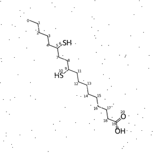 CCCCCC(S)CCC(S)CCCCCCCCC(=O)O